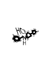 Cl.c1ccc(CNC2CCC(c3ccccc3)CC2)cc1